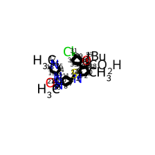 Cc1cc2nc(-c3ccc4c(c3)n(C3CCN(C)CC3)c(=O)n4C)sc2c(-c2ccc(Cl)cc2)c1C(OC(C)(C)C)C(=O)O